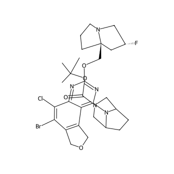 CC(C)(C)OC(=O)N1CC2CCC(C1)N2c1nc(OC[C@@]23CCCN2C[C@H](F)C3)nc2c(Cl)c(Br)c3c(c12)COC3